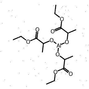 CCOC(=O)C(C)[O][Al]([O]C(C)C(=O)OCC)[O]C(C)C(=O)OCC